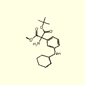 COC(=O)C(N)(C(=O)OC(C)(C)C)c1cccc(NC2CCCCC2)c1